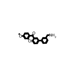 COc1ccc(C(=O)c2cccc(-c3cccc(CN)c3)c2)c(O)c1